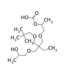 CCC(COCC(C)O)(COCC(C)OC(=O)O)COCC(C)(C)C